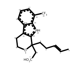 CC=CCCC1(CC(=O)O)OCCc2c1[nH]c1c(C(F)(F)F)cccc21